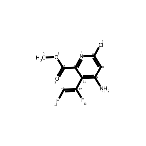 COC(=O)c1nc(Cl)cc(N)c1C(F)=CF